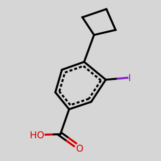 O=C(O)c1ccc(C2CCC2)c(I)c1